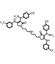 N#Cc1ccc(C(N)C2=C(Nc3cccc(C(F)(F)F)c3)CN(CCCNCCCN3CC(Nc4cccc(C(F)(F)F)c4)=C(C(N)c4ccc(C#N)nc4)C3=O)C2=O)cn1